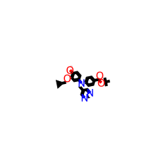 COc1ccc(N(Cc2cncnc2)c2ccc(C(=O)OC(C)(C)C)cc2)cc1OCC1CC1